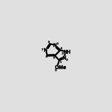 COc1n[nH]c2ncncc12